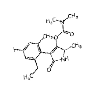 CCc1cc(I)cc(C)c1C1=C(OC(=O)N(C)C)C(C)NC1=O